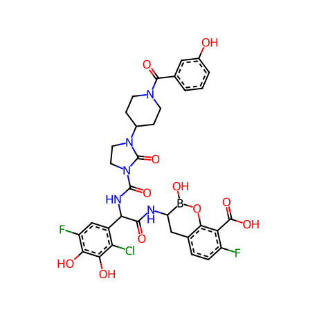 O=C(O)c1c(F)ccc2c1OB(O)C(NC(=O)C(NC(=O)N1CCN(C3CCN(C(=O)c4cccc(O)c4)CC3)C1=O)c1cc(F)c(O)c(O)c1Cl)C2